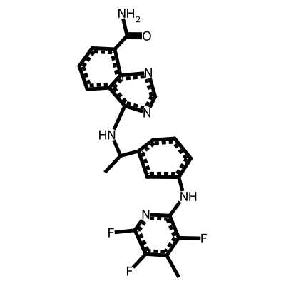 Cc1c(F)c(F)nc(Nc2cccc(C(C)Nc3ncnc4c(C(N)=O)cccc34)c2)c1F